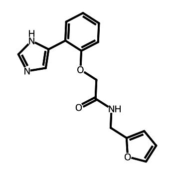 O=C(COc1ccccc1-c1cnc[nH]1)NCc1ccco1